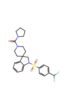 O=C(N1CCCC1)N1CCC2(CC1)CN(S(=O)(=O)c1ccc(C(F)F)cc1)c1ccccc12